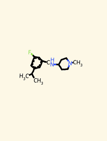 CC(C)c1cc(F)cc(CNC2CCN(C)CC2)c1